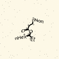 CCCCCCCCCCCC(=O)OC(CC)CCCCCC